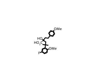 COc1ccc(CCC(O)(CC(C)(C)c2cc(F)ccc2OC)C(=O)O)cc1